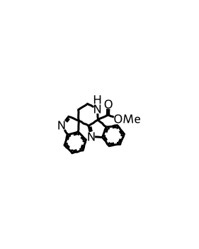 COC(=O)C12NCCC3(C=Nc4ccccc43)C1=Nc1ccccc12